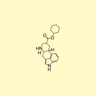 O=C(OC1CCCCC1)C1CN[C@@H]2Cc3c[nH]c4cccc(c34)[C@H]2C1